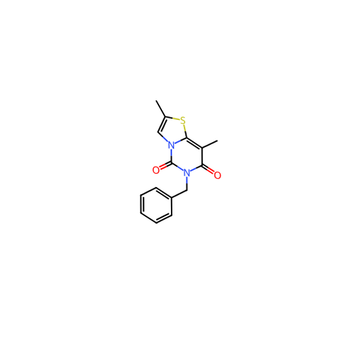 Cc1cn2c(=O)n(Cc3ccccc3)c(=O)c(C)c2s1